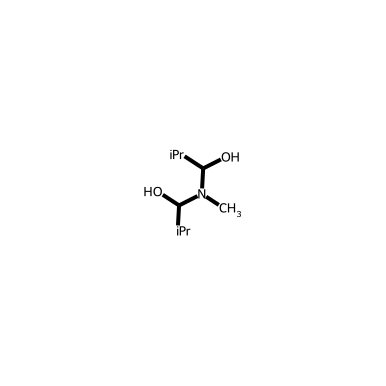 CC(C)C(O)N(C)C(O)C(C)C